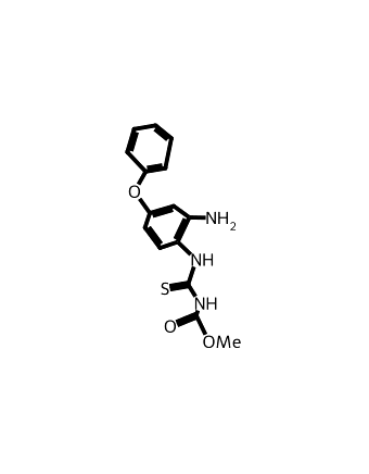 COC(=O)NC(=S)Nc1ccc(Oc2ccccc2)cc1N